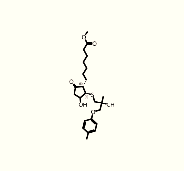 COC(=O)CCCCCC[C@H]1C(=O)CC(O)[C@@H]1SCC(C)(O)COc1ccc(C)cc1